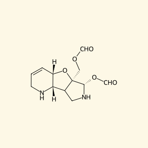 O=COC[C@@]12O[C@H]3C=CCN[C@H]3C1CN[C@H]2OC=O